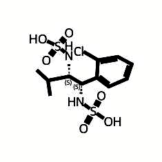 CC(C)[C@H](NS(=O)(=O)O)[C@@H](NS(=O)(=O)O)c1ccccc1Cl